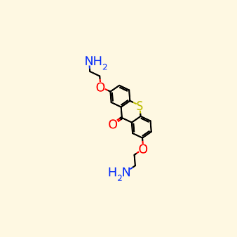 NCCOc1ccc2sc3ccc(OCCN)cc3c(=O)c2c1